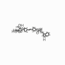 C[C@@H](O)[C@H](NC(=O)c1ccc(C#Cc2ccc(NC(=O)CNCc3c[nH]c4ccccc34)cc2)cc1)C(=O)NO